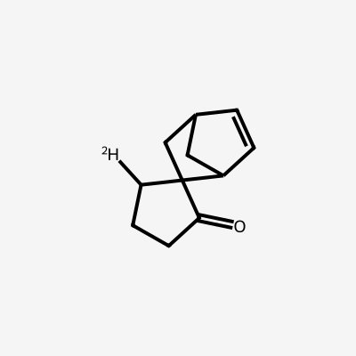 [2H]C1CCC(=O)C12CC1C=CC2C1